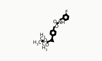 CC(C)(C)OC(=O)C1CC1c1ccc(COC(=O)NCc2cccc(F)c2)cc1